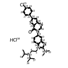 CC(C)N(CCn1c(N(C)C)nc2cc(-n3cnc4cc(-c5ccc(Cl)cc5)sc4c3=O)ccc21)C(C)C.Cl